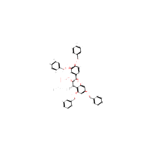 CCCCC[C@@H]1c2c(OCc3ccccc3)cc(OCc3ccccc3)cc2OC(c2ccc(OCc3ccccc3)c(OCc3ccccc3)c2)C1O